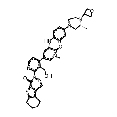 C[C@@H]1CN(c2ccc(Nc3cc(-c4ccnc(-n5ncc6c7c(sc6c5=O)CCCC7)c4CO)cn(C)c3=O)nc2)CCN1C1COC1